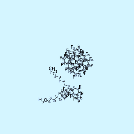 CCCCCCCCC[NH+](c1cc(F)c(F)c(C(F)(F)F)c1F)C(F)(F)C(F)(F)C(F)(F)CCCCCC.Fc1c(F)c(F)c2c([B-](c3c(F)c(F)c(F)c4c(F)c(F)c(F)c(F)c34)(c3c(F)c(F)c(F)c4c(F)c(F)c(F)c(F)c34)c3c(F)c(F)c(F)c4c(F)c(F)c(F)c(F)c34)c(F)c(F)c(F)c2c1F